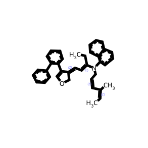 C/C=C(C)\C=C/CN(/C(=C/C=C1\COC=C1c1ccccc1-c1ccccc1)CC)c1cccc2ccccc12